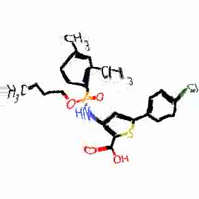 CCCCOP(=O)(Nc1cc(-c2ccc(Cl)cc2)sc1C(=O)O)c1ccc(C)cc1C